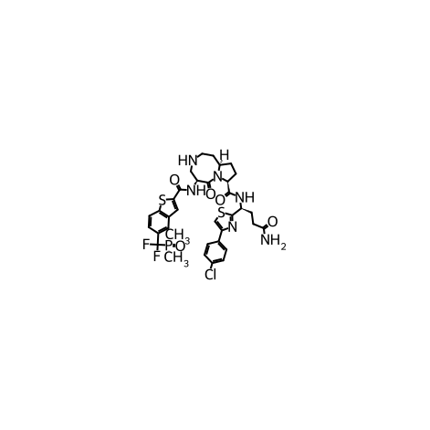 CP(C)(=O)C(F)(F)c1ccc2sc(C(=O)N[C@H]3CNCC[C@H]4CC[C@@H](C(=O)N[C@@H](CCC(N)=O)c5nc(-c6ccc(Cl)cc6)cs5)N4C3=O)cc2c1